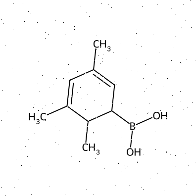 CC1=CC(B(O)O)C(C)C(C)=C1